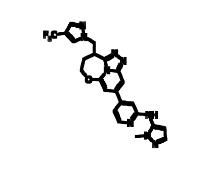 Cn1nccc1Nc1cc(-c2cc3n4c(nnc4c2)C(Cn2cc(C(F)(F)F)cn2)CCO3)ccn1